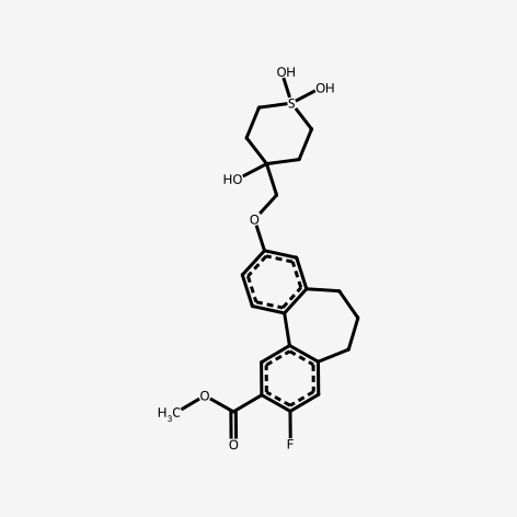 COC(=O)c1cc2c(cc1F)CCCc1cc(OCC3(O)CCS(O)(O)CC3)ccc1-2